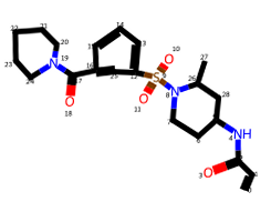 C=CC(=O)NC1CCN(S(=O)(=O)c2cccc(C(=O)N3CCCCC3)c2)C(C)C1